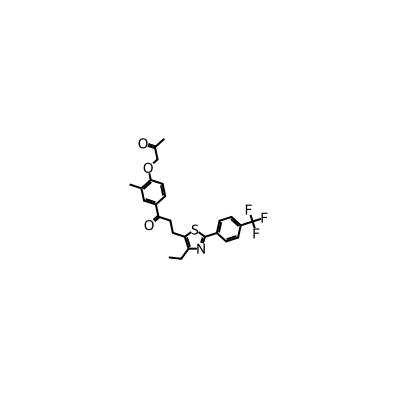 CCc1nc(-c2ccc(C(F)(F)F)cc2)sc1CCC(=O)c1ccc(OCC(C)=O)c(C)c1